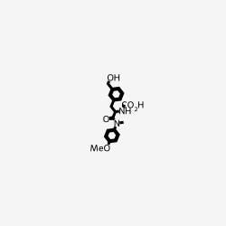 COc1ccc(N(C)C(=O)C(Cc2cccc(CO)c2)NC(=O)O)cc1